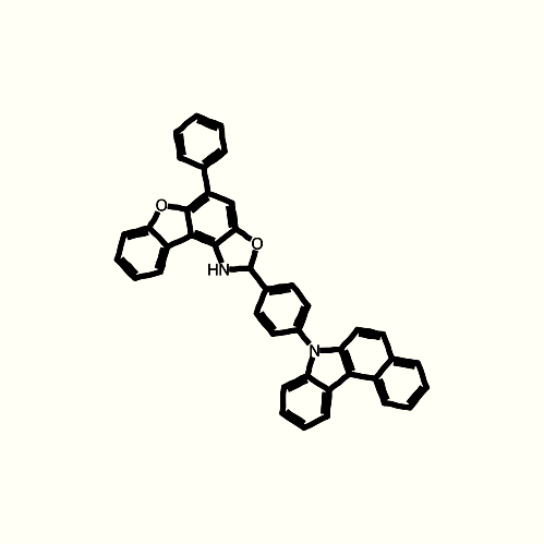 c1ccc(-c2cc3c(c4c2oc2ccccc24)NC(c2ccc(-n4c5ccccc5c5c6ccccc6ccc54)cc2)O3)cc1